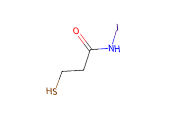 O=C(CCS)NI